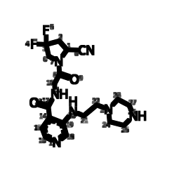 N#CC1CC(F)(F)CN1C(=O)CNC(=O)c1ccncc1NCCN1CCNCC1